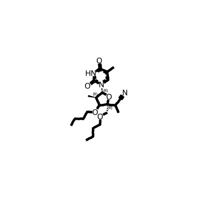 CCCCOC[C@@]1(C(C)C#N)O[C@@H](n2cc(C)c(=O)[nH]c2=O)[C@H](C)C1OCCCC